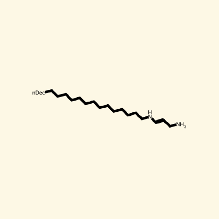 CCCCCCCCCCCCCCCCCCCCCCCCNC=CCN